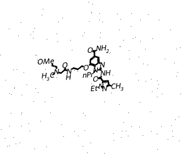 CCCn1c(NC(=O)c2cc(C)nn2CC)nc2cc(C(N)=O)cc(OCCCNC(=O)CN(C)CCOC)c21